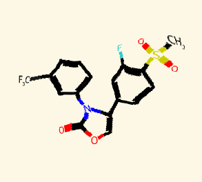 CS(=O)(=O)c1ccc(-c2coc(=O)n2-c2cccc(C(F)(F)F)c2)cc1F